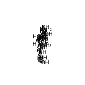 CC(C)(COP(=O)(O)OP(=O)(O)OC[C@H]1O[C@@H](n2cnc3c(N)ncnc32)[C@H](O)[C@@H]1OP(=O)(O)O)[C@@H](O)C(=O)NCCC(=O)NCCSc1nc2ccc(O)cc2[nH]1